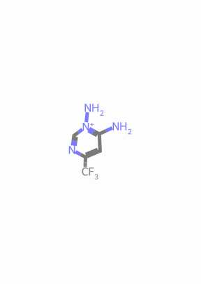 Nc1cc(C(F)(F)F)nc[n+]1N